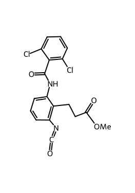 COC(=O)CCc1c(N=C=O)cccc1NC(=O)c1c(Cl)cccc1Cl